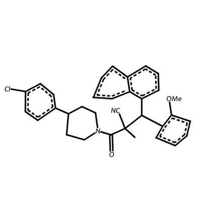 COc1ccccc1C(c1cccc2ccccc12)C(C)(C#N)C(=O)N1CCC(c2ccc(Cl)cc2)CC1